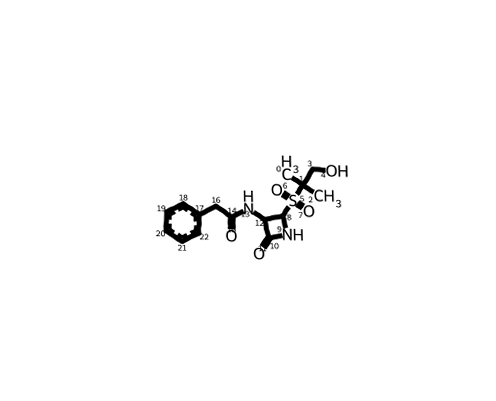 CC(C)(CO)S(=O)(=O)C1NC(=O)C1NC(=O)Cc1ccccc1